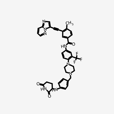 Cc1ccc(C(=O)Nc2ccc(N3CCN(Cc4ccc(NC5CCC(=O)NC5=O)cc4)CC3)c(C(F)(F)F)c2)cc1C#Cc1cnc2cccnn12